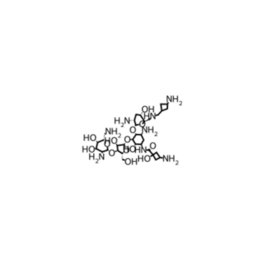 NC[C@@H]1O[C@H](O[C@H]2[C@@H](O)[C@H](O[C@@H]3[C@@H](O)[C@H](NC(=O)C4(O)CC(N)C4)C[C@H](N)[C@H]3O[C@H]3O[C@H](CNCC4CC(N)C4)[C@@H](O)C[C@H]3N)O[C@@H]2CO)[C@H](N)[C@@H](O)[C@@H]1O